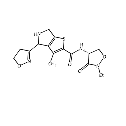 CCN1OC[C@@H](NC(=O)c2sc3c(c2C)C(C2=NOCC2)NC3)C1=O